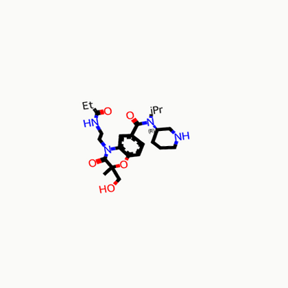 CCC(=O)NCCN1C(=O)C(C)(CO)Oc2ccc(C(=O)N(C(C)C)[C@@H]3CCCNC3)cc21